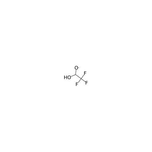 [O]C(O)C(F)(F)F